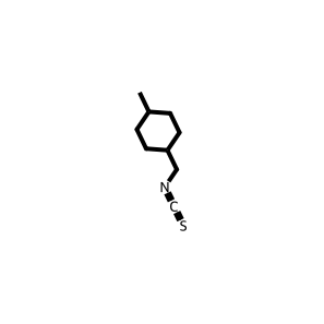 CC1CCC(CN=C=S)CC1